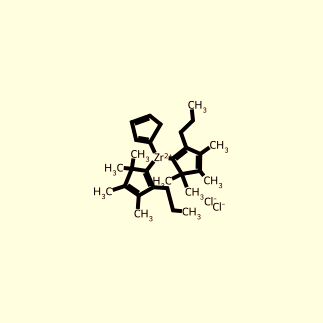 CCCC1=[C]([Zr+2]([C]2=CC=CC2)[C]2=C(CCC)C(C)=C(C)C2(C)C)C(C)(C)C(C)=C1C.[Cl-].[Cl-]